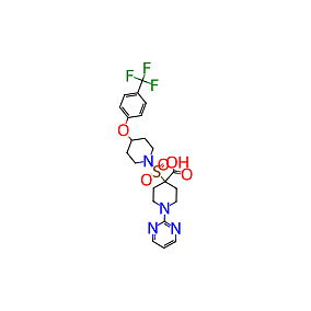 O=C(O)C1(S(=O)(=O)N2CCC(Oc3ccc(C(F)(F)F)cc3)CC2)CCN(c2ncccn2)CC1